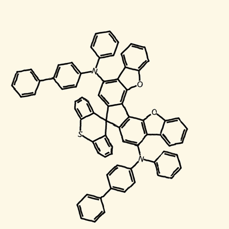 c1ccc(-c2ccc(N(c3ccccc3)c3cc4c(c5oc6ccccc6c35)-c3c(cc(N(c5ccccc5)c5ccc(-c6ccccc6)cc5)c5c3oc3ccccc35)C43c4ccccc4Sc4ccccc43)cc2)cc1